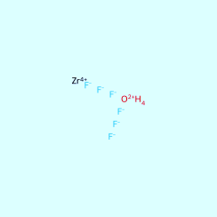 [F-].[F-].[F-].[F-].[F-].[F-].[OH4+2].[Zr+4]